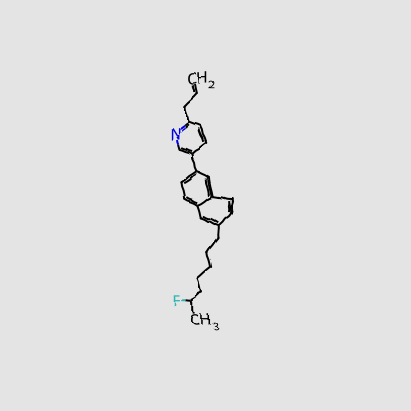 C=CCc1ccc(-c2ccc3cc(CCCCCC(C)F)ccc3c2)cn1